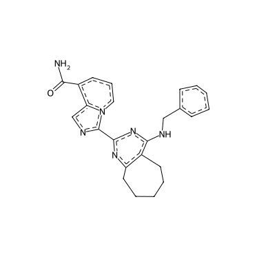 NC(=O)c1cccn2c(-c3nc4c(c(NCc5ccccc5)n3)CCCCC4)ncc12